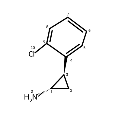 N[C@H]1C[C@@H]1c1ccccc1Cl